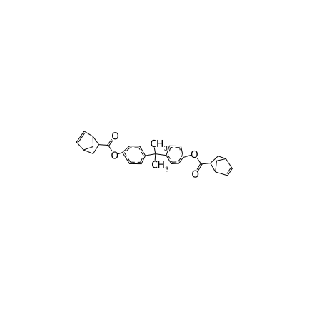 CC(C)(c1ccc(OC(=O)C2CC3C=CC2C3)cc1)c1ccc(OC(=O)C2CC3C=CC2C3)cc1